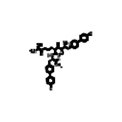 N=C(N)NCCC[C@@H](NC(=O)[C@H](N)Cc1ccc(-c2ccc(Cl)cc2)cc1)C(=O)N[C@H](Cc1ccc(-c2ccc(Cl)cc2)cc1)C(N)=O